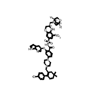 CC1(C)CCC(c2ccc(Cl)cc2)=C(CN2CCN(c3ccc(C(=O)NS(=O)(=O)c4cc5c(c([N+](=O)[O-])c4)N[C@H](CN4C[C@@H]6C[C@H]4CO6)CO5)c(Oc4cnc5[nH]ccc5c4)c3)CC2)C1